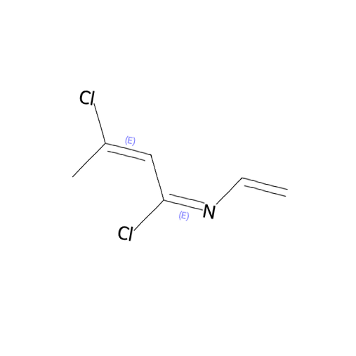 C=C/N=C(Cl)\C=C(/C)Cl